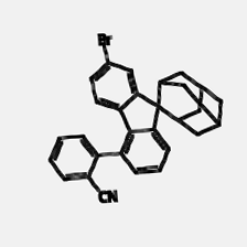 N#Cc1ccccc1-c1cccc2c1-c1ccc(Br)cc1C21C2CC3CC(C2)CC1C3